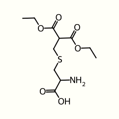 CCOC(=O)C(CSCC(N)C(=O)O)C(=O)OCC